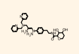 N/C(=C\N(N)c1ccc(CCNC(=O)C2OCCC(O)C2O)cc1)CN(Cc1ccccn1)Cc1ccccn1